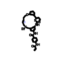 C=CC(=O)Nc1ccc(C(=O)Nc2cc3cc(c2)Nc2nccc(n2)-c2cccc(c2)OCC/C=C/CN(CC)C3)cc1